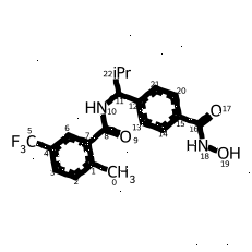 Cc1ccc(C(F)(F)F)cc1C(=O)NC(c1ccc(C(=O)NO)cc1)C(C)C